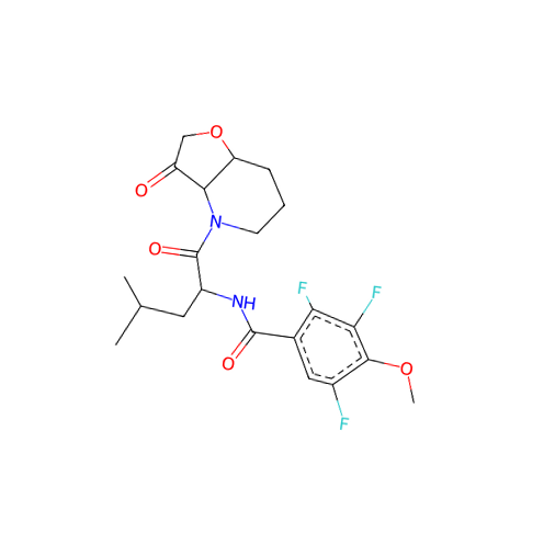 COc1c(F)cc(C(=O)NC(CC(C)C)C(=O)N2CCCC3OCC(=O)C32)c(F)c1F